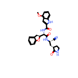 COc1cccc2[nH]c(C(=O)N[C@H](C(=O)N[C@H](C#N)C[C@@H]3CCNC3=O)[C@@H]3Cc4ccccc4O3)cc12